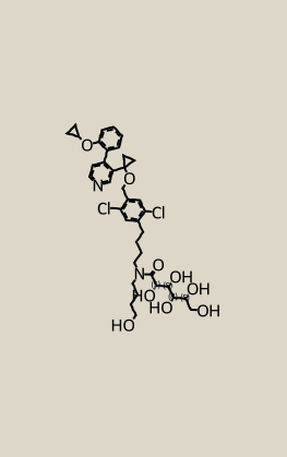 O=C([C@@H](O)[C@@H](O)[C@H](O)[C@@H](O)CO)N(CCCCO)CCCCc1cc(Cl)c(COC2(c3cnccc3-c3ccccc3OC3CC3)CC2)cc1Cl